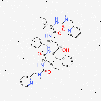 CC[C@H](C)[C@H](NC(=O)N(C)Cc1ccccn1)C(=O)N[C@@H](Cc1ccccc1)C[C@H](O)[C@H](Cc1ccccc1)NC(=O)[C@@H](NC(=O)N(C)Cc1ccccn1)[C@@H](C)CC